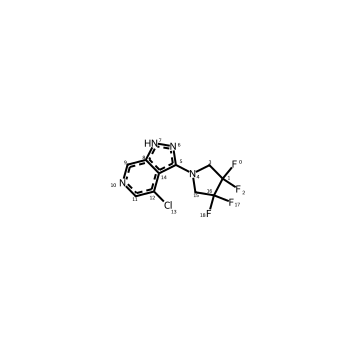 FC1(F)CN(c2n[nH]c3cncc(Cl)c23)CC1(F)F